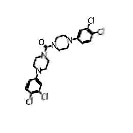 O=C(N1CCN(c2ccc(Cl)c(Cl)c2)CC1)N1CCN(c2ccc(Cl)c(Cl)c2)CC1